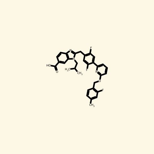 Cc1ccc(COc2cccc(-c3cc(F)c(Cc4nc5ccc(C(=O)O)cc5n4CC(C)C)cc3F)n2)c(F)c1